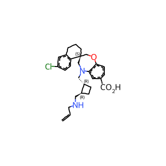 C=CCNC[C@@H]1CC[C@H]1CN1C[C@@]2(CCCc3cc(Cl)ccc32)COc2ccc(C(=O)O)cc21